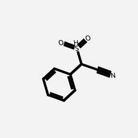 N#CC(c1ccccc1)[SH](=O)=O